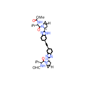 COC(=O)NC(C(=O)N1C2C[C@@H]2C[C@H]1c1nc2ccc(C#Cc3ccc4nc([C@@H]5C[C@H]6CC6N5C(=O)C(NC=O)C(C)C)[nH]c4c3)cc2[nH]1)C(C)C